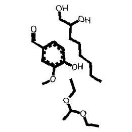 CCCCCCC(O)CO.CCOC(C)OCC.COc1cc(C=O)ccc1O